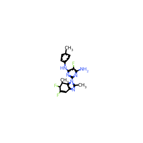 Cc1ccc(Nc2nc(-n3c(C)nc4c3C(C)C(F)C(F)=C4)nc(N)c2F)cc1